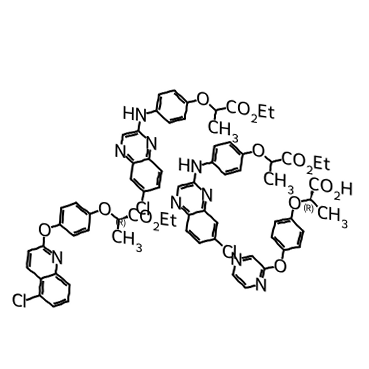 CCOC(=O)C(C)Oc1ccc(Nc2cnc3cc(Cl)ccc3n2)cc1.CCOC(=O)C(C)Oc1ccc(Nc2cnc3ccc(Cl)cc3n2)cc1.CCOC(=O)[C@@H](C)Oc1ccc(Oc2ccc3c(Cl)cccc3n2)cc1.C[C@@H](Oc1ccc(Oc2cnccn2)cc1)C(=O)O